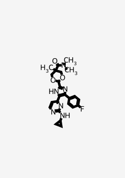 CN(C)C(=O)C1(C)COC(c2nc(-c3ccc(F)cc3)c(-c3ccnc(NC4CC4)n3)[nH]2)OC1